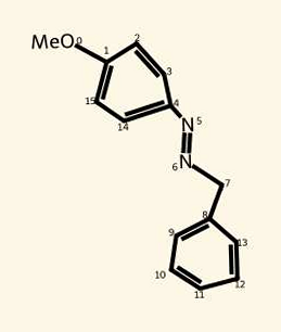 COc1ccc(N=N[CH]c2ccccc2)cc1